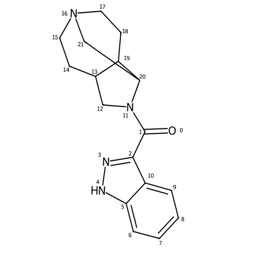 O=C(c1n[nH]c2ccccc12)N1CC2CCN3CCC2C1C3